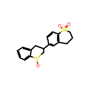 O=S1(=O)CCCc2cc(C3Cc4ccccc4[S+]([O-])C3)ccc21